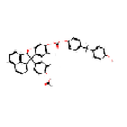 COc1ccc(C(C)(C)c2ccc(OC(=O)Oc3ccc(C4(c5ccc(OC(C)=O)c(C)c5)C(=O)c5cccc6cccc4c56)cc3C)cc2)cc1